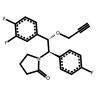 C#CCO[C@@H](c1ccc(F)c(F)c1)[C@@H](c1ccc(F)cc1)N1CCCC1=O